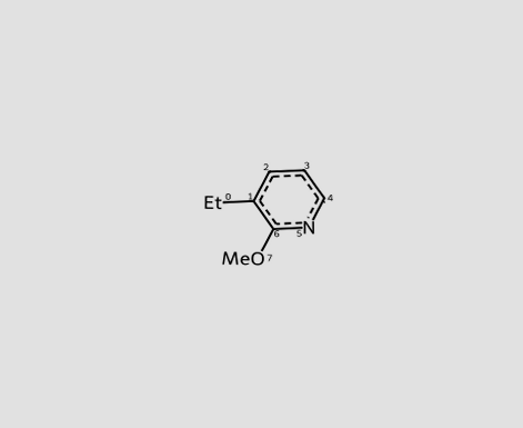 CCc1cc[c]nc1OC